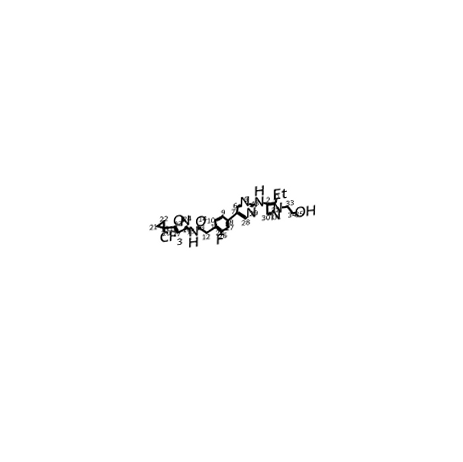 CCc1c(Nc2ncc(-c3ccc(CC(=O)Nc4cc(C5(C(F)(F)F)CC5)on4)c(F)c3)cn2)cnn1CCO